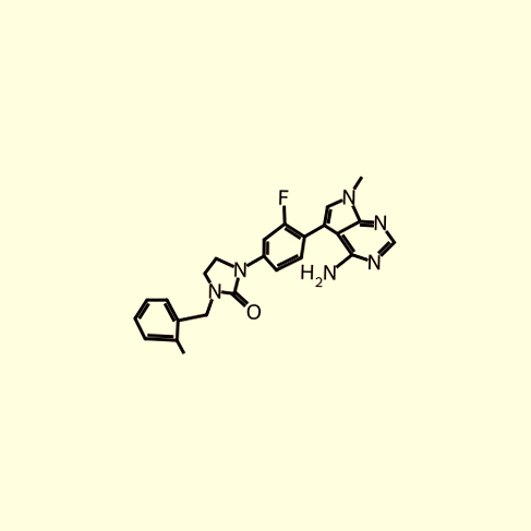 Cc1ccccc1CN1CCN(c2ccc(-c3cn(C)c4ncnc(N)c34)c(F)c2)C1=O